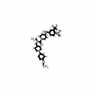 CCOc1ccc(N2CCC(CN(C)C(=O)N3CCC(Nc4ccc([N+](=O)[O-])c(C(F)(F)F)c4)CC3)CC2)cc1